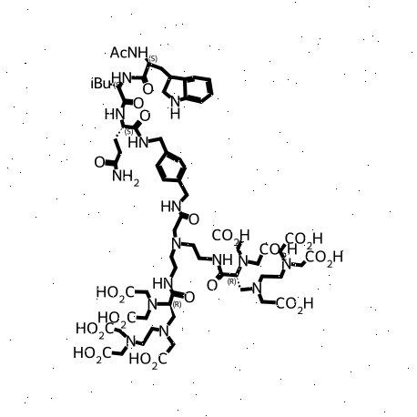 CCC(C)[C@H](NC(=O)[C@H](CC1CNc2ccccc21)NC(C)=O)C(=O)N[C@@H](CCC(N)=O)C(=O)NCc1ccc(CNC(=O)CN(CCNC(=O)[C@@H](CN(CCN(CC(=O)O)CC(=O)O)CC(=O)O)N(CC(=O)O)CC(=O)O)CCNC(=O)[C@@H](CN(CCN(CC(=O)O)CC(=O)O)CC(=O)O)N(CC(=O)O)CC(=O)O)cc1